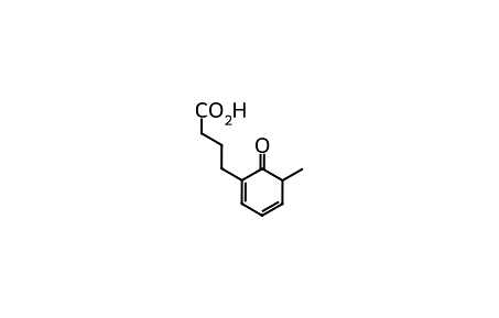 CC1C=CC=C(CCCC(=O)O)C1=O